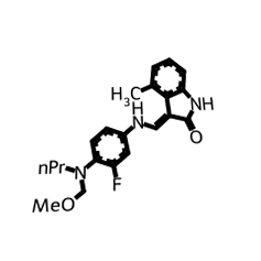 CCCN(COC)c1ccc(N/C=C2/C(=O)Nc3cccc(C)c32)cc1F